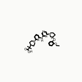 CCOc1ccccc1O[C@@H]1CCCN(c2cncc(Nc3cccc(N4CCC(C(C)(C)C(=O)O)CC4)n3)n2)C1